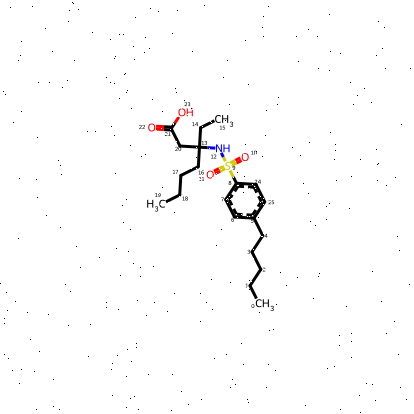 CCCCCc1ccc(S(=O)(=O)NC(CC)(CCCC)CC(=O)O)cc1